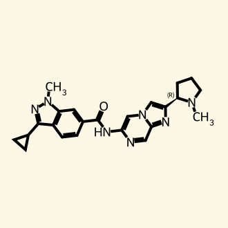 CN1CCC[C@@H]1c1cn2cc(NC(=O)c3ccc4c(C5CC5)nn(C)c4c3)ncc2n1